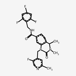 Cc1cc(CN2C(=O)N(C)C(C)c3ccc(C(=O)NCc4c(F)cc(F)cc4F)cc32)c(F)cn1